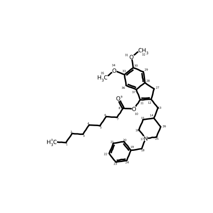 CCCCCCCCC(=O)OC1=C(CC2CCN(Cc3ccccc3)CC2)Cc2cc(OC)c(OC)cc21